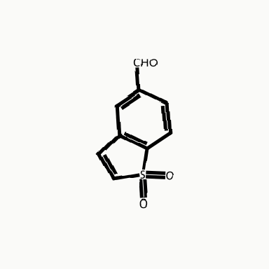 O=Cc1ccc2c(c1)C=CS2(=O)=O